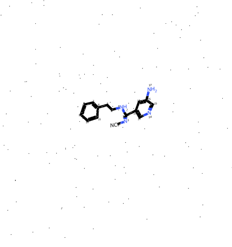 N#CN=C(NCCc1ccccc1)c1cncc(N)c1